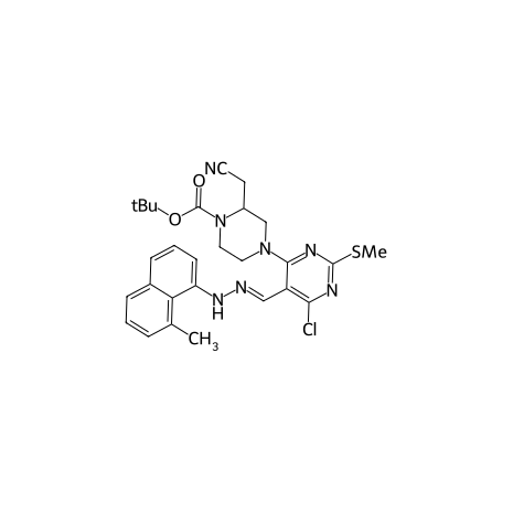 CSc1nc(Cl)c(/C=N/Nc2cccc3cccc(C)c23)c(N2CCN(C(=O)OC(C)(C)C)C(CC#N)C2)n1